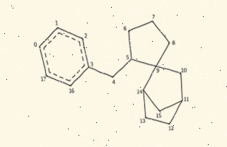 c1ccc(CC2CCCC23CC2CCC3C2)cc1